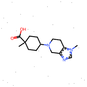 Cn1cnc2c1CCN(C1CCC(C)(C(=O)O)CC1)C2